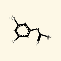 Cc1cc(N)cc(NC(=O)C(C)(C)C)c1